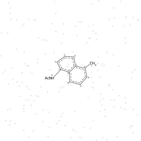 CC(=O)Nc1cccc2c(C)cccc12